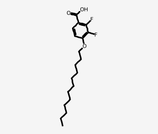 CCCCCCCCCCCCOc1ccc(C(=O)O)c(F)c1F